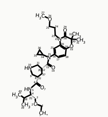 CCOC[C@@H](NC(=O)[C@@H]1CNC[C@H](C(=O)N(c2ccc3c(c2)N(CCCOC)C(=O)C(C)(C)O3)C2CC2)C1)C(C)C